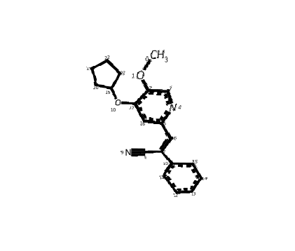 COc1cnc(/C=C(\C#N)c2ccccc2)cc1OC1CCCC1